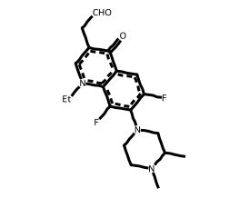 CCn1cc(CC=O)c(=O)c2cc(F)c(N3CCN(C)C(C)C3)c(F)c21